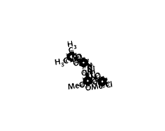 COc1cc(NS(=O)(=O)c2ccc(Cl)cc2)c(C(=O)N=[N+]=Nc2ccc(S(=O)(=O)N3CC(C)CC(C)C3)cc2)cc1OC